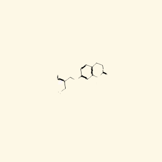 NC/C(=C/F)COc1ccc2c(c1)NC(=O)CC2